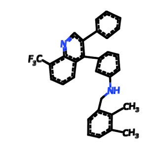 Cc1cccc(CNc2cccc(-c3c(-c4ccccc4)cnc4c(C(F)(F)F)cccc34)c2)c1C